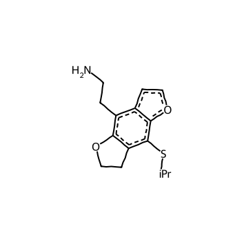 CC(C)Sc1c2c(c(CCN)c3ccoc13)OCC2